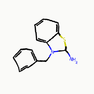 NC1Sc2ccccc2N1Cc1ccccc1